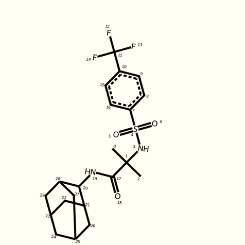 CC(C)(NS(=O)(=O)c1ccc(C(F)(F)F)cc1)C(=O)NC1C2CC3CC(C2)CC1C3